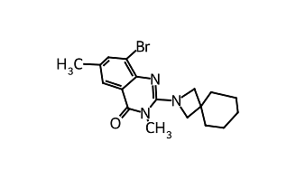 Cc1cc(Br)c2nc(N3CC4(CCCCC4)C3)n(C)c(=O)c2c1